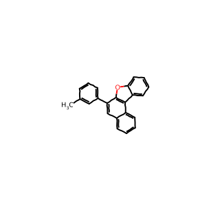 Cc1cccc(-c2cc3ccccc3c3c2oc2ccccc23)c1